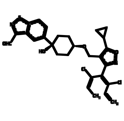 C=C/C(Cl)=C(\C(Cl)=C/C)c1noc(C2CC2)c1CO[C@H]1CC[C@](O)(c2ccc3snc(C=O)c3c2)CC1